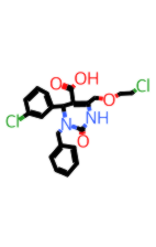 O=C(O)C1=C(COCCCl)NC(=O)N(Cc2ccccc2)C1c1cccc(Cl)c1